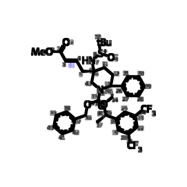 COC(=O)/C=C/C[C@@]1(N[S+]([O-])C(C)(C)C)CC[C@@](CO[C@H](C)c2cc(C(F)(F)F)cc(C(F)(F)F)c2)(c2ccccc2)N(C(=O)OCc2ccccc2)C1